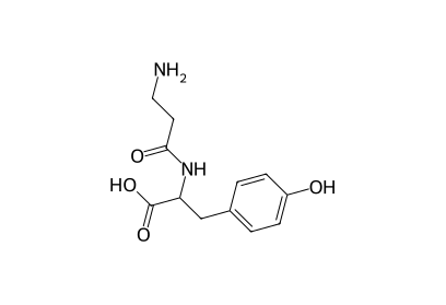 NCCC(=O)NC(Cc1ccc(O)cc1)C(=O)O